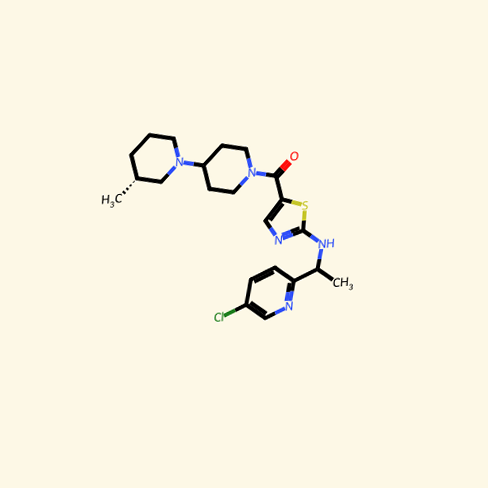 CC(Nc1ncc(C(=O)N2CCC(N3CCC[C@@H](C)C3)CC2)s1)c1ccc(Cl)cn1